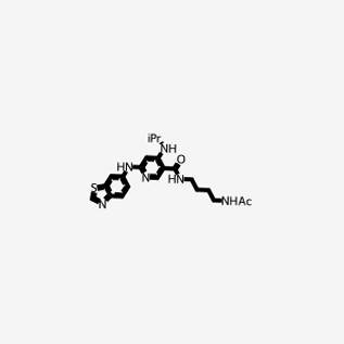 CC(=O)NCCCCNC(=O)c1cnc(Nc2ccc3ncsc3c2)cc1NC(C)C